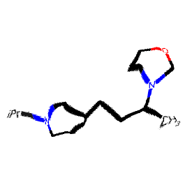 CC(C)N1CCC(CCC(C)N2CCOC2)C1